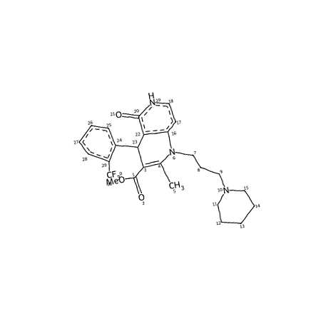 COC(=O)C1=C(C)N(CCCN2CCCCC2)c2cc[nH]c(=O)c2C1c1ccccc1C(F)(F)F